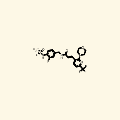 CS(=O)(=O)Nc1ccc(CNC(=O)/C=C/c2ccc(C(F)(F)F)nc2N2CCOCC2)cc1F